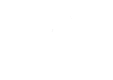 CC.[Cl][Pd][Cl].c1ccc(Pc2ccccc2)cc1.c1ccc(Pc2ccccc2)cc1